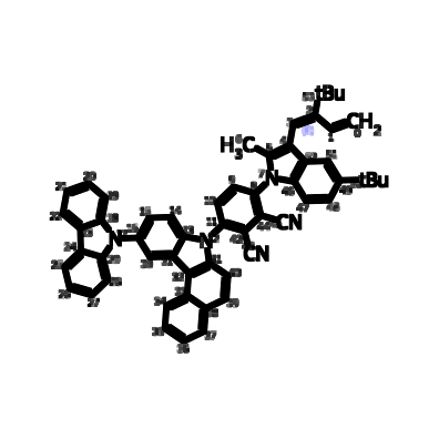 C=C/C(=C\c1c(C)n(-c2ccc(-n3c4ccc(-n5c6ccccc6c6ccccc65)cc4c4c5ccccc5ccc43)c(C#N)c2C#N)c2ccc(C(C)(C)C)cc12)C(C)(C)C